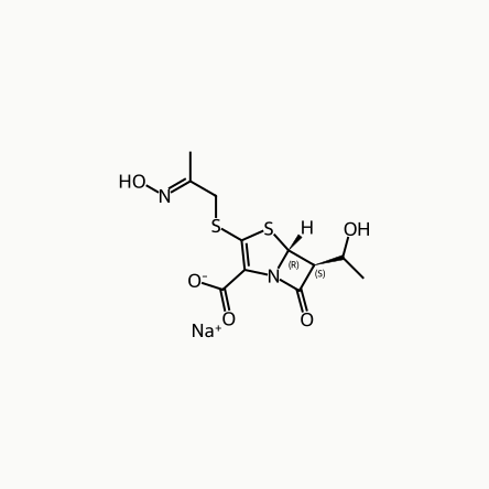 CC(CSC1=C(C(=O)[O-])N2C(=O)[C@H](C(C)O)[C@H]2S1)=NO.[Na+]